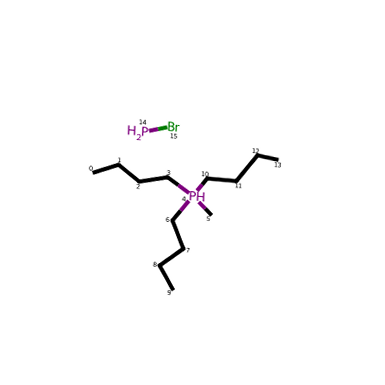 CCCC[PH](C)(CCCC)CCCC.PBr